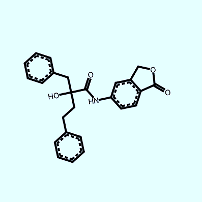 O=C1OCc2cc(NC(=O)C(O)(CCc3ccccc3)Cc3ccccc3)ccc21